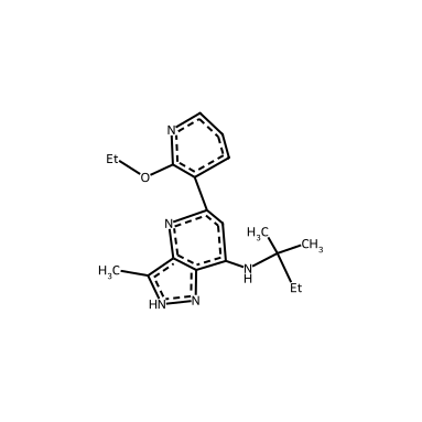 CCOc1ncccc1-c1cc(NC(C)(C)CC)c2n[nH]c(C)c2n1